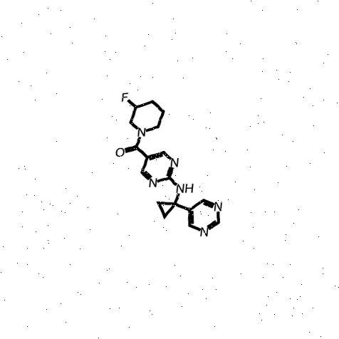 O=C(c1cnc(NC2(c3cncnc3)CC2)nc1)N1CCCC(F)C1